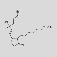 CCOCCC(C)(O)/C=C/C1CCC(=O)C1CCCCCCCOC(C)=O